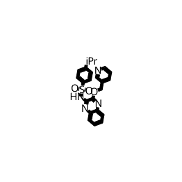 CC(C)c1ccc(S(=O)(=O)Nc2nc3ccccc3nc2OCc2cccnc2)cc1